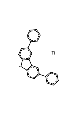 [CH]1c2ccc(-c3ccccc3)cc2-c2cc(-c3ccccc3)ccc21.[Ti]